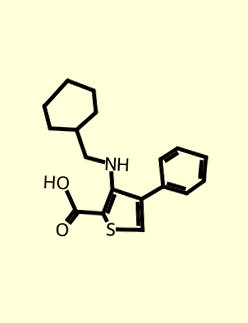 O=C(O)c1scc(-c2ccccc2)c1NCC1CCCCC1